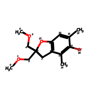 COCC1(COC)Cc2c(cc(C)c(Br)c2C)O1